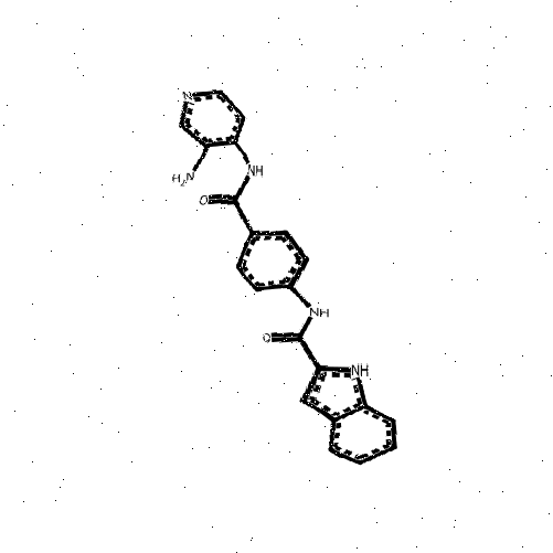 Nc1cnccc1NC(=O)c1ccc(NC(=O)c2cc3ccccc3[nH]2)cc1